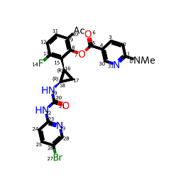 CNc1ccc(C(=O)Oc2c(C(C)=O)ccc(F)c2[C@H]2C[C@H]2NC(=O)Nc2ccc(Br)cn2)cn1